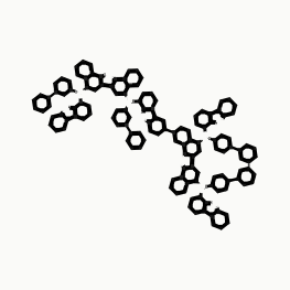 c1ccc(-c2ccc(N(c3cc4c5cc(N(c6ccc(-c7ccccc7)cc6)c6cccc7c6oc6ccccc67)c6ccc(-c7ccc8oc9c(N(c%10cccc(-c%11ccccc%11)c%10)c%10cc%11c%12cc(N(c%13cccc(-c%14ccccc%14)c%13)c%13cccc%14c%13oc%13ccccc%13%14)c%13ccccc%13c%12oc%11c%11ccccc%10%11)cccc9c8c7)cc6c5oc4c4ccccc34)c3cccc4c3oc3ccccc34)cc2)cc1